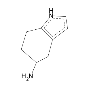 NC1CCc2[nH]ccc2C1